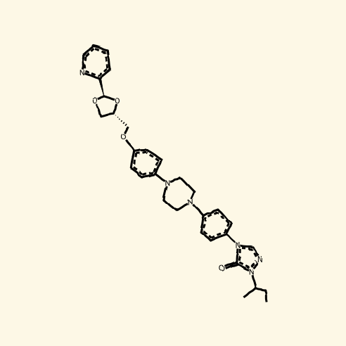 CCC(C)n1ncn(-c2ccc(N3CCN(c4ccc(OC[C@@H]5CO[C@@H](c6ccccn6)O5)cc4)CC3)cc2)c1=O